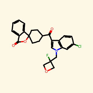 O=C1OC2(CCC(C(=O)c3cn(CC4(F)COC4)c4cc(Cl)ccc34)CC2)c2ccccc21